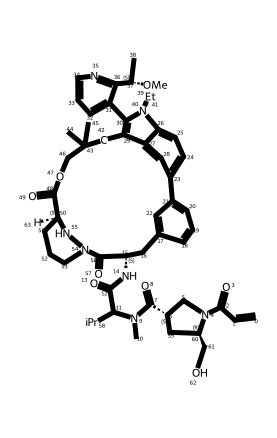 C=CC(=O)N1C[C@@H](C(=O)N(C)C(C(=O)N[C@H]2Cc3cccc(c3)-c3ccc4c(c3)c(c(-c3cccnc3[C@H](C)OC)n4CC)CC(C)(C)COC(=O)[C@@H]3CCCN(N3)C2=O)C(C)C)C[C@@H]1CO